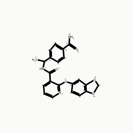 CC(NC(=O)c1cccnc1Oc1ccc2c(c1)OCO2)c1ccc(C(N)=O)cc1